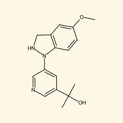 COc1ccc2c(c1)CNN2c1cncc(C(C)(C)O)c1